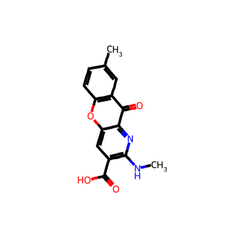 CNc1nc2c(=O)c3cc(C)ccc3oc2cc1C(=O)O